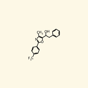 Cc1nc(-c2ccc(C(F)(F)F)cc2)oc1C(O)Cc1ccccc1